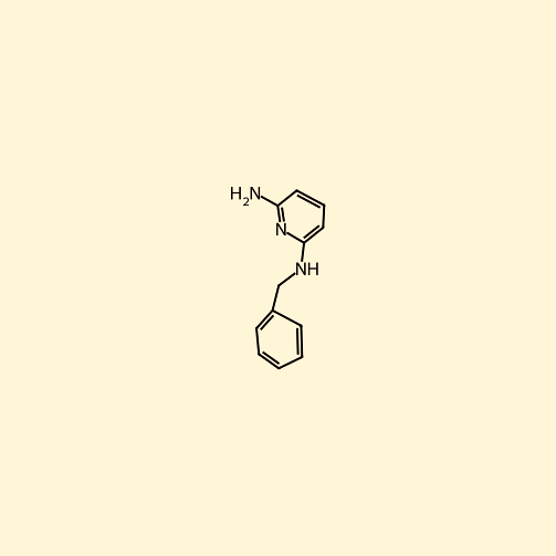 Nc1cccc(NCc2ccccc2)n1